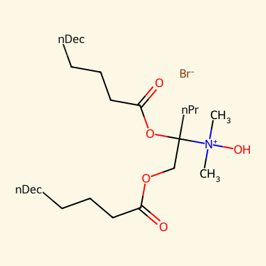 CCCCCCCCCCCCCC(=O)OCC(CCC)(OC(=O)CCCCCCCCCCCCC)[N+](C)(C)O.[Br-]